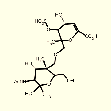 CC(=O)NC1[C@H](O)[C@](C)(COC[C@@]2(C)OC(C(=O)O)=C[C@@H](O)C2OS(=O)(=O)O)C(CO)OC1(C)C